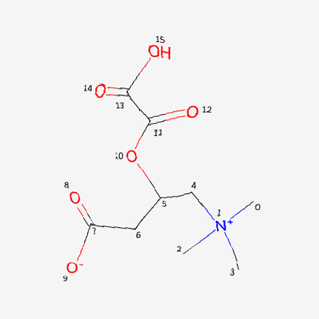 C[N+](C)(C)CC(CC(=O)[O-])OC(=O)C(=O)O